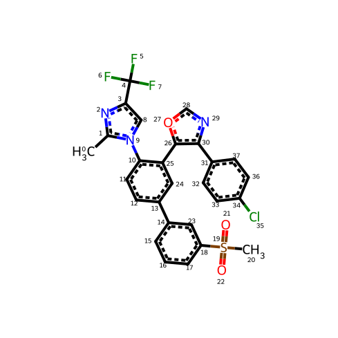 Cc1nc(C(F)(F)F)cn1-c1ccc(-c2cccc(S(C)(=O)=O)c2)cc1-c1ocnc1-c1ccc(Cl)cc1